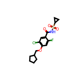 O=C(NS(=O)(=O)C1CC1)c1cc(Cl)c(OCC2CCCC2)cc1F